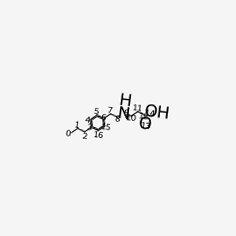 CCCc1ccc(CCNCCC(=O)O)cc1